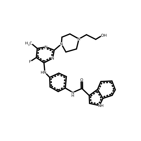 Cc1nc(N2CCN(CCO)CC2)nc(Nc2ccc(NC(=O)c3c[nH]c4ccccc34)cc2)c1F